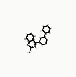 Clc1nc(C2CC=CC(c3ccccc3)C2)c2ccccc2n1